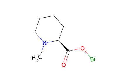 CN1CCCC[C@H]1C(=O)OBr